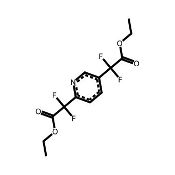 CCOC(=O)C(F)(F)c1ccc(C(F)(F)C(=O)OCC)nc1